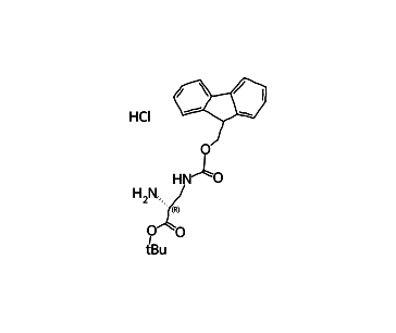 CC(C)(C)OC(=O)[C@H](N)CNC(=O)OCC1c2ccccc2-c2ccccc21.Cl